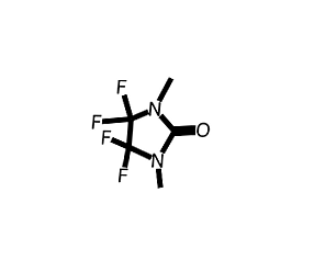 CN1C(=O)N(C)C(F)(F)C1(F)F